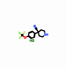 Cl.N#CC1(c2ccc(OC(F)(F)F)cc2)CCNCC1